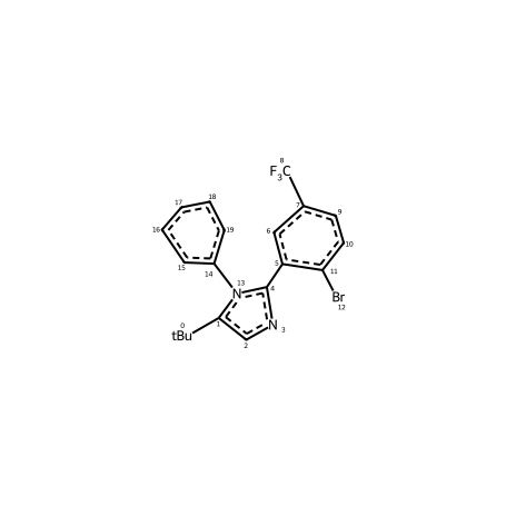 CC(C)(C)c1cnc(-c2cc(C(F)(F)F)ccc2Br)n1-c1ccccc1